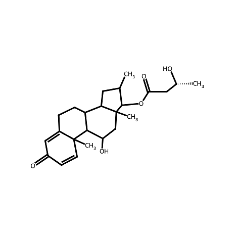 CC1CC2C3CCC4=CC(=O)C=CC4(C)C3C(O)CC2(C)C1OC(=O)C[C@@H](C)O